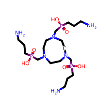 NCCCP(=O)(O)CN1CCN(CP(=O)(O)CCCN)CCN(CP(=O)(O)CCCN)CC1